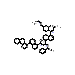 C=C/C=C(\C1=C(C)C/C(=C\C=C/C)C=C1)c1cccc2c(C(=N/C(=C)c3ccccc3)/N=C(\C)c3cccc4c(-c5ccnc6c5ccc5cccnc56)cccc34)cccc12